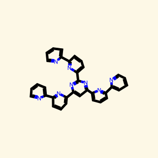 c1ccc(-c2cccc(-c3cc(-c4cccc(-c5ccccn5)n4)nc(-c4cccc(-c5ccccn5)n4)n3)n2)nc1